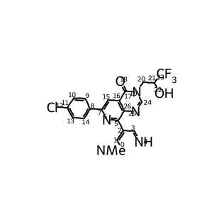 CN/C=C(\C=N)c1nc(-c2ccc(Cl)cc2)cc2c(=O)n(CC(O)C(F)(F)F)cnc12